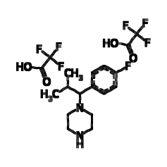 CC(C)C(c1ccc(F)cc1)N1CCNCC1.O=C(O)C(F)(F)F.O=C(O)C(F)(F)F